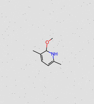 COC1NC(C)=CC=C1C